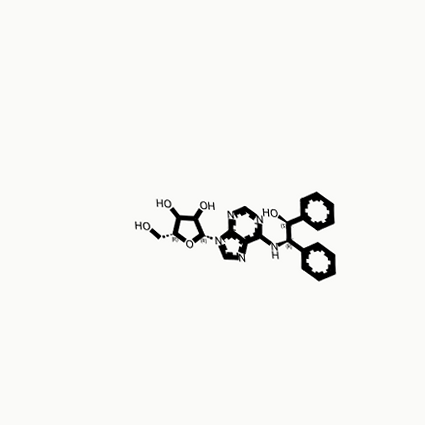 OC[C@H]1O[C@@H](n2cnc3c(N[C@H](c4ccccc4)[C@@H](O)c4ccccc4)ncnc32)C(O)C1O